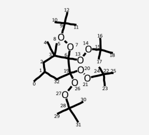 CC1CC(C)(C)C(OOC(C)(C)C)(OOC(C)(C)C)C(OOC(C)(C)C)(OOC(C)(C)C)C1